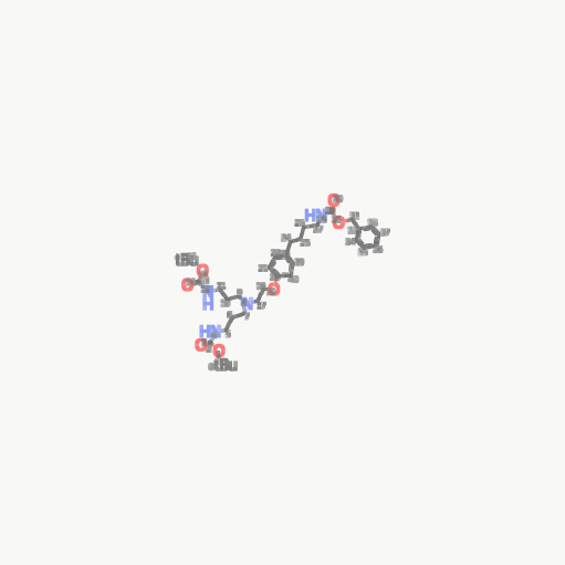 CC(C)(C)OC(=O)NCCCN(CCCNC(=O)OC(C)(C)C)CCOc1ccc(CCCCNC(=O)OCc2ccccc2)cc1